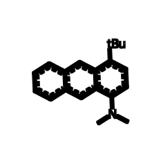 CN(C)c1ccc(C(C)(C)C)c2cc3ccccc3cc12